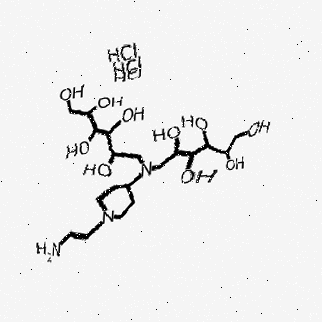 Cl.Cl.Cl.NCCN1CCC(N(CC(O)C(O)C(O)C(O)CO)CC(O)C(O)C(O)C(O)CO)CC1